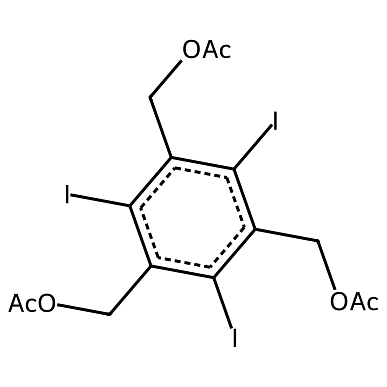 CC(=O)OCc1c(I)c(COC(C)=O)c(I)c(COC(C)=O)c1I